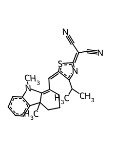 CC(C)c1nc(=C(C#N)C#N)s/c1=C/C1=C2N(C)c3ccccc3C2(C)CCC1